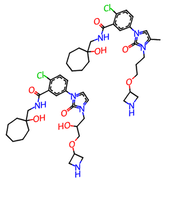 Cc1cn(-c2ccc(Cl)c(C(=O)NCC3(O)CCCCCC3)c2)c(=O)n1CCCOC1CNC1.O=C(NCC1(O)CCCCCC1)c1cc(-n2ccn(CC(O)COC3CNC3)c2=O)ccc1Cl